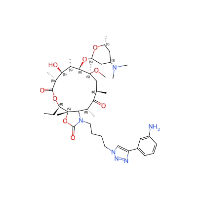 CC[C@H]1OC(=O)[C@H](C)[C@@H](O)[C@H](C)[C@@H](O[C@H]2C[C@@H](N(C)C)C[C@@H](C)O2)[C@@](C)(OC)C[C@@H](C)C(=O)[C@H](C)C2N(CCCCn3cc(-c4cccc(N)c4)nn3)C(=O)O[C@@]21C